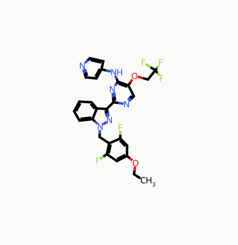 CCOc1cc(F)c(Cn2nc(-c3ncc(OCC(F)(F)F)c(Nc4ccncc4)n3)c3ccccc32)c(F)c1